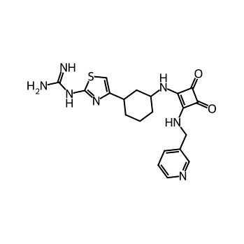 N=C(N)Nc1nc(C2CCCC(Nc3c(NCc4cccnc4)c(=O)c3=O)C2)cs1